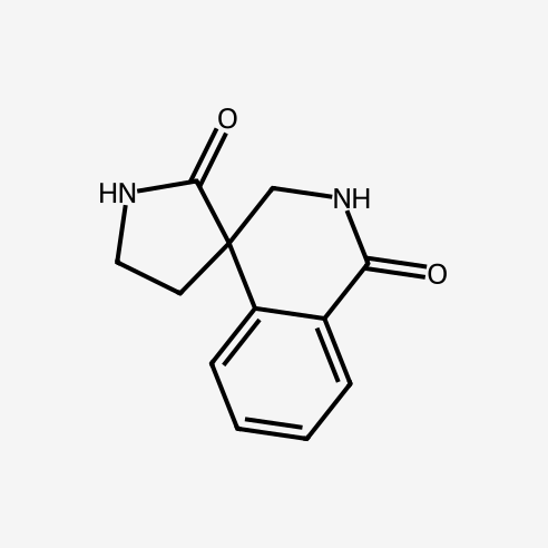 O=C1NCC2(CCNC2=O)c2ccccc21